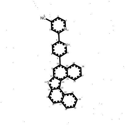 N#Cc1ccnc(-c2ccc(-c3cc4sc5ccc6ccccc6c5c4c4ccccc34)cn2)c1